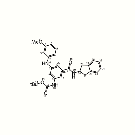 COc1cccc(Nc2cc(NC(=O)OC(C)(C)C)cc(C(=O)NC3Cc4ccccc4C3)n2)c1